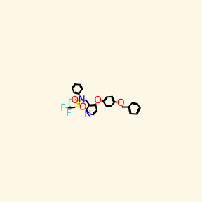 O=S(=O)(CC(F)(F)F)N(Cc1cnccc1Oc1ccc(OCc2ccccc2)cc1)c1ccccc1